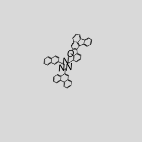 c1ccc2c(c1)-c1cccc3cc4oc5c(-c6nc(-c7ccc8ccccc8c7)nc(-c7cc8ccccc8c8ccccc78)n6)cccc5c4c-2c13